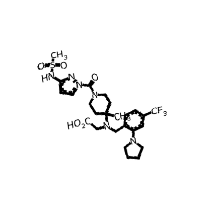 CC1(N(CC(=O)O)Cc2ccc(C(F)(F)F)cc2N2CCCC2)CCN(C(=O)n2ccc(NS(C)(=O)=O)n2)CC1